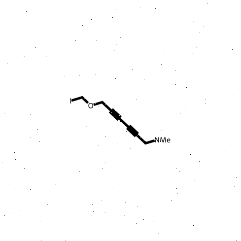 CNCC#CC#CCOCI